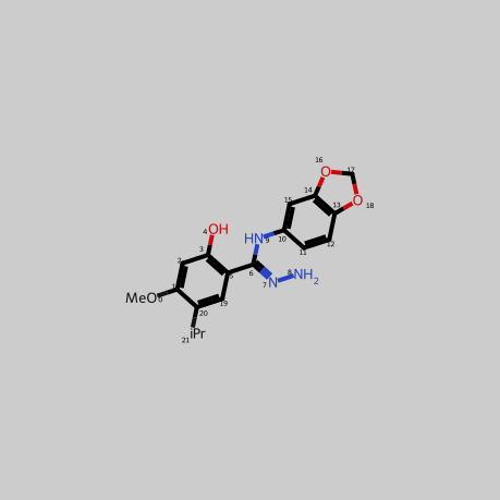 COc1cc(O)c(/C(=N/N)Nc2ccc3c(c2)OCO3)cc1C(C)C